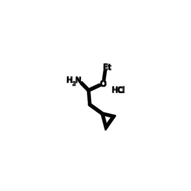 CCOC(N)CC1CC1.Cl